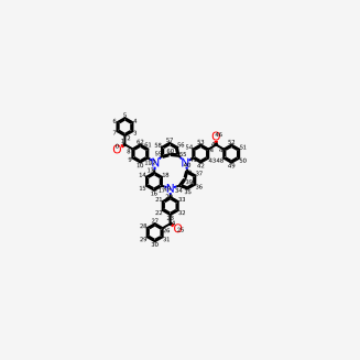 O=C(c1ccccc1)c1ccc(N2c3cccc(c3)N(c3ccc(C(=O)c4ccccc4)cc3)c3cccc(c3)N(c3ccc(C(=O)c4ccccc4)cc3)c3cccc2c3)cc1